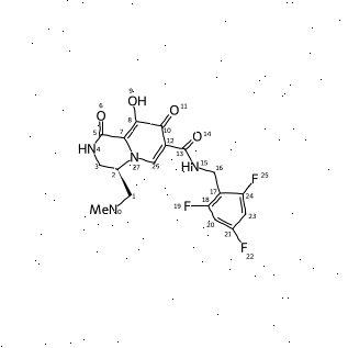 CNC[C@H]1CNC(=O)c2c(O)c(=O)c(C(=O)NCc3c(F)cc(F)cc3F)cn21